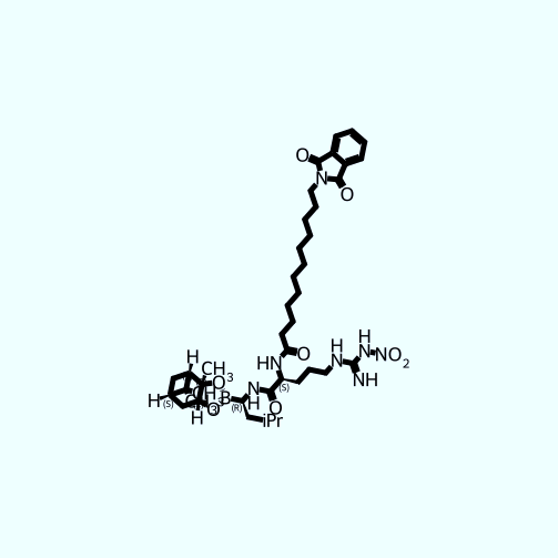 CC(C)C[C@H](NC(=O)[C@H](CCCNC(=N)N[N+](=O)[O-])NC(=O)CCCCCCCCCCCN1C(=O)c2ccccc2C1=O)B1O[C@@H]2C[C@@H]3C[C@@H](C3(C)C)[C@]2(C)O1